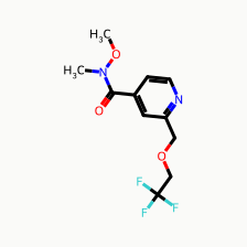 CON(C)C(=O)c1ccnc(COCC(F)(F)F)c1